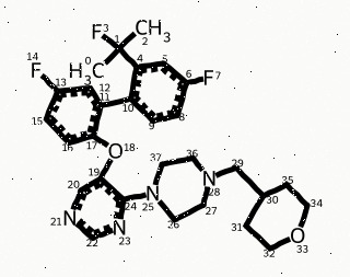 CC(C)(F)c1cc(F)ccc1-c1cc(F)ccc1Oc1cncnc1N1CCN(CC2CCOCC2)CC1